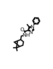 Cc1c(C(=O)NCC2CCC3C(C)(C)C34CC24)ncn1-c1ccccc1